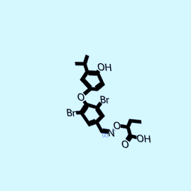 CCC(O/N=C\c1cc(Br)c(Oc2ccc(O)c(C(C)C)c2)c(Br)c1)C(=O)O